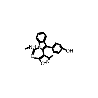 CNC(=O)n1c(-c2c(C)noc2C)c(-c2ccc(O)cc2)c2ccccc21